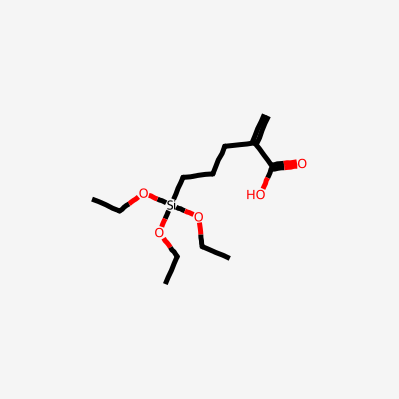 C=C(CCC[Si](OCC)(OCC)OCC)C(=O)O